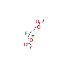 C=CC(=O)OCCCC(F)(F)COC(=O)C=C